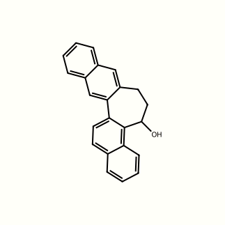 OC1CCc2cc3ccccc3cc2-c2ccc3ccccc3c21